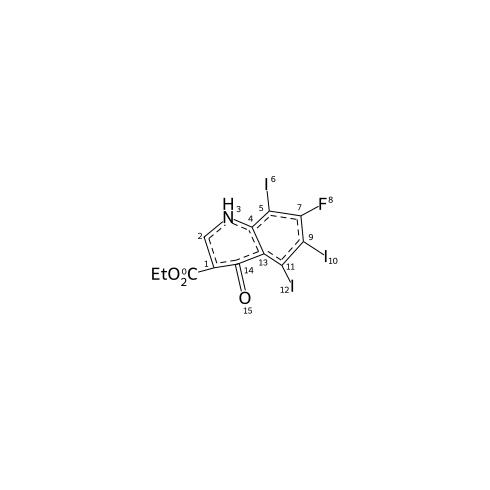 CCOC(=O)c1c[nH]c2c(I)c(F)c(I)c(I)c2c1=O